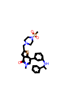 CC(Nc1cccc(-c2cn(C)c(=O)c3cc(CN4CCN(S(C)(=O)=O)CC4)sc23)c1)c1ccccc1